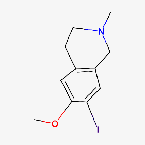 COc1cc2c(cc1I)CN(C)CC2